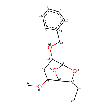 CCC1OC2OC1C(OC)CC2OCc1ccccc1